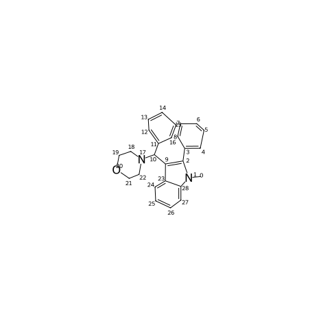 Cn1c(-c2ccccc2)c(C(c2ccccc2)N2CCOCC2)c2ccccc21